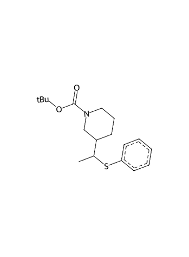 CC(Sc1ccccc1)C1CCCN(C(=O)OC(C)(C)C)C1